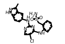 Cc1n[nH]c2ccc(Nc3ncc(Cl)c(Nc4ccccc4CS(N)(=O)=O)n3)cc12